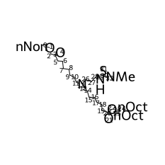 CCCCCCCCCOCC(=O)CCCCCCCN(CCCCCCCC(=O)OC(CCCCCCCC)CCCCCCCC)CCCNC(=S)NC